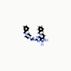 c1ccc(CN2CCN(CCNc3nc4c5c(n3)N(Cc3ccccc3)CCC5NN4)CC2)cc1